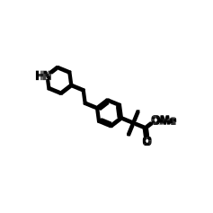 COC(=O)C(C)(C)c1ccc(CCC2CCNCC2)cc1